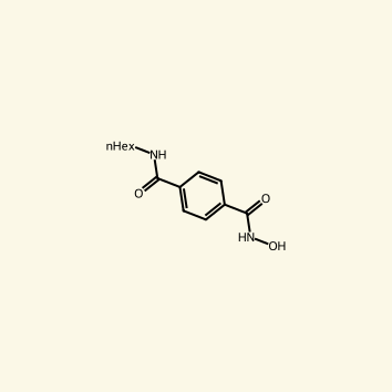 CCCCCCNC(=O)c1ccc(C(=O)NO)cc1